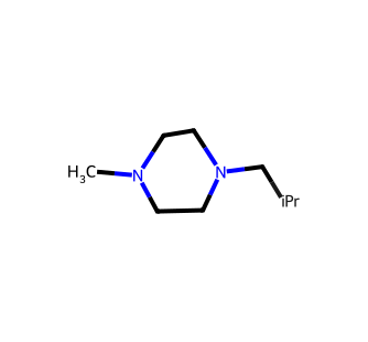 [CH2]C(C)CN1CCN(C)CC1